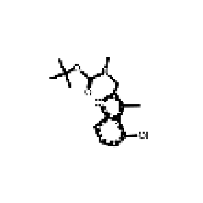 Cc1c(CN(C)C(=O)OC(C)(C)C)oc2cccc(O)c12